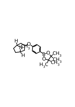 CN1[C@@H]2CC[C@H]1CC(Oc1ccc(B3OC(C)(C)C(C)(C)O3)cc1)C2